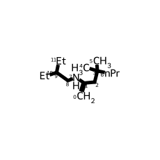 C=C(CC(C)(C)CCC)NCC(CC)CC